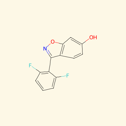 Oc1ccc2c(-c3c(F)cccc3F)noc2c1